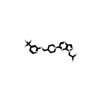 FC(F)Cn1ncc2ncc(N3CCC(COc4cc(C(F)(F)F)ccn4)CC3)nc21